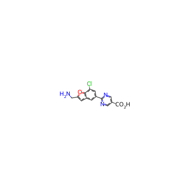 NCc1cc2cc(-c3ncc(C(=O)O)cn3)cc(Cl)c2o1